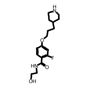 O=C(NCCO)c1ccc(OCCCC2CCNCC2)cc1F